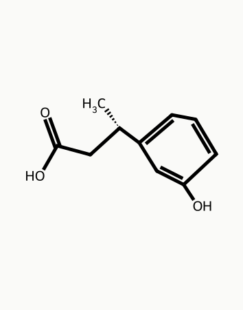 C[C@@H](CC(=O)O)c1cccc(O)c1